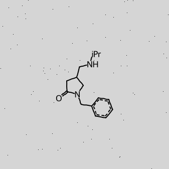 CC(C)NCC1CC(=O)N(Cc2ccccc2)C1